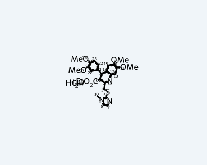 CCOC(=O)c1c(CSc2nccn2C)nc2cc(OC)c(OC)cc2c1-c1ccc(OC)c(OC)c1.Cl.O